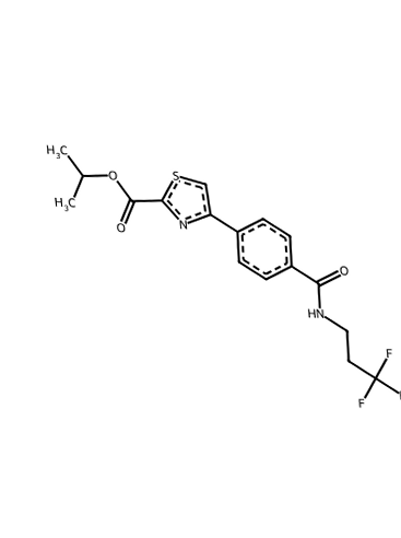 CC(C)OC(=O)c1nc(-c2ccc(C(=O)NCCC(F)(F)F)cc2)cs1